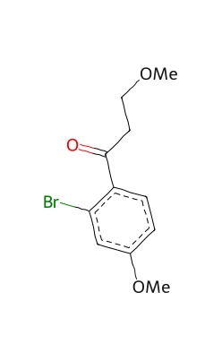 COCCC(=O)c1ccc(OC)cc1Br